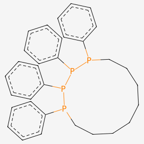 c1ccc(P2CCCCCCCCP(c3ccccc3)P(c3ccccc3)P2c2ccccc2)cc1